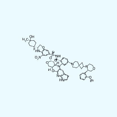 CC(C)Oc1ccccc1[C@@H]1COCCN1C1CC2(CCN(c3ccc(C(=O)NS(=O)(=O)c4cc5c(c([N+](=O)[O-])c4)N[C@H](C4(F)CCC(C)(O)CC4)CO5)c(N4c5cc6cc[nH]c6nc5O[C@H]5COCC[C@@H]54)c3)CC2)C1